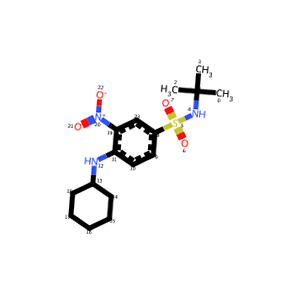 CC(C)(C)NS(=O)(=O)c1ccc(NC2CCCCC2)c([N+](=O)[O-])c1